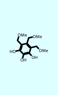 COCc1c(O)c(O)c(O)c(COC)c1COC